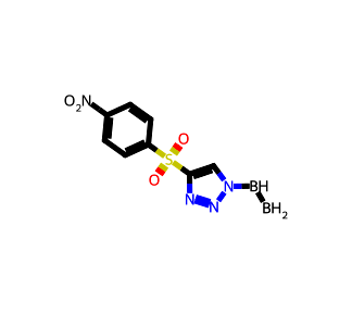 BBn1cc(S(=O)(=O)c2ccc([N+](=O)[O-])cc2)nn1